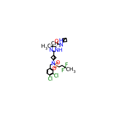 CC(F)(F)CCS(=O)(=O)N(Cc1ccc(Cl)c(Cl)c1)C12CC(C3=NC(C)(C)[C@H](C(=O)NC45CC(C4)C5)N3)(C1)C2